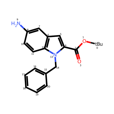 CC(C)(C)OC(=O)c1cc2cc(N)ccc2n1Cc1ccccc1